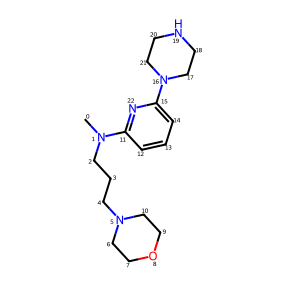 CN(CCCN1CCOCC1)c1cccc(N2CCNCC2)n1